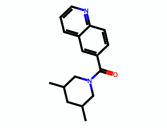 CC1CC(C)CN(C(=O)c2ccc3ncccc3c2)C1